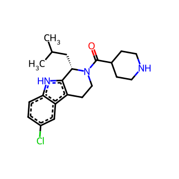 CC(C)C[C@H]1c2[nH]c3ccc(Cl)cc3c2CCN1C(=O)C1CCNCC1